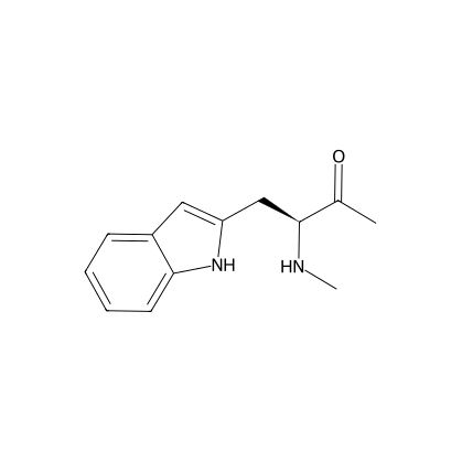 CN[C@@H](Cc1cc2ccccc2[nH]1)C(C)=O